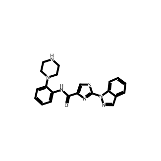 O=C(Nc1ccccc1N1CCNCC1)c1csc(-n2ncc3ccccc32)n1